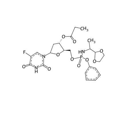 CCC(=O)O[C@H]1CC(n2cc(F)c(=O)[nH]c2=O)O[C@@H]1COP(=O)(NC(C)C1OCCO1)Oc1ccccc1